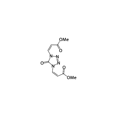 COC(=O)/C=C\n1nnn(/C=C\C(=O)OC)c1=O